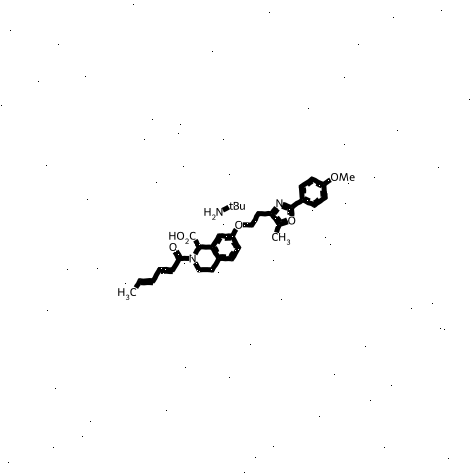 CC(C)(C)N.CC=CC=CC(=O)N1CCc2ccc(OCCc3nc(-c4ccc(OC)cc4)oc3C)cc2C1C(=O)O